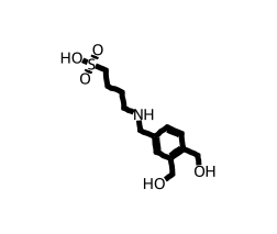 O=S(=O)(O)CCCCNCc1ccc(CO)c(CO)c1